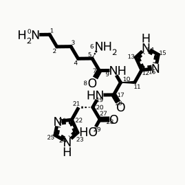 NCCCC[C@H](N)C(=O)N[C@@H](Cc1c[nH]cn1)C(=O)N[C@@H](Cc1c[nH]cn1)C(=O)O